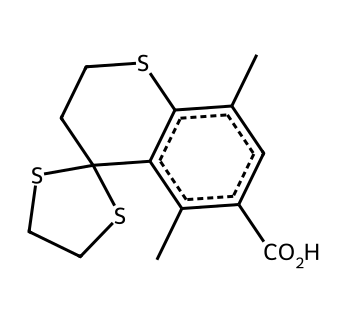 Cc1cc(C(=O)O)c(C)c2c1SCCC21SCCS1